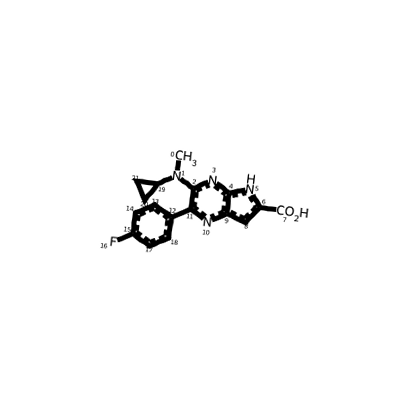 CN(c1nc2[nH]c(C(=O)O)cc2nc1-c1ccc(F)cc1)C1CC1